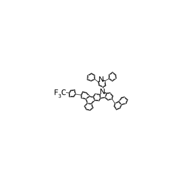 FC(F)(F)c1ccc(-c2ccc3c(c2)c2ccccc2c2cc4c5cc(-c6cccc7ccccc67)ccc5n(-c5cc(-c6ccccc6)nc(-c6ccccc6)c5)c4cc32)cc1